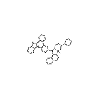 CC12C=C(c3ccccc3)C=CC1N(c1ccc3c(c1)c1ccccc1c1nc4ccccc4n31)c1c2ccc2ccccc12